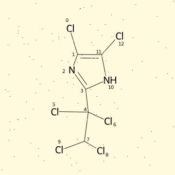 Clc1nc(C(Cl)(Cl)C(Cl)Cl)[nH]c1Cl